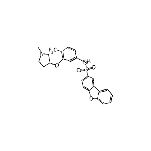 CN1CCC(Oc2cc(NS(=O)(=O)c3ccc4oc5ccccc5c4c3)ccc2C(F)(F)F)C1